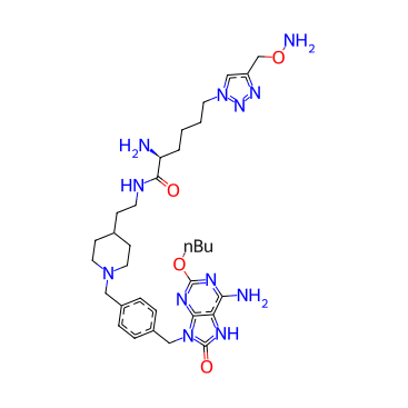 CCCCOc1nc(N)c2[nH]c(=O)n(Cc3ccc(CN4CCC(CCNC(=O)[C@@H](N)CCCCn5cc(CON)nn5)CC4)cc3)c2n1